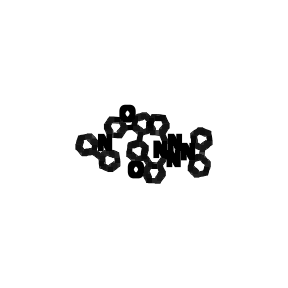 C1=Cc2c(c3ccccc3n2-c2nc(-c3ccccc3)nc(-c3cccc4oc5ccc(-c6cccc7oc8ccc(-n9c%10ccccc%10c%10ccccc%109)cc8c67)cc5c34)n2)CC1